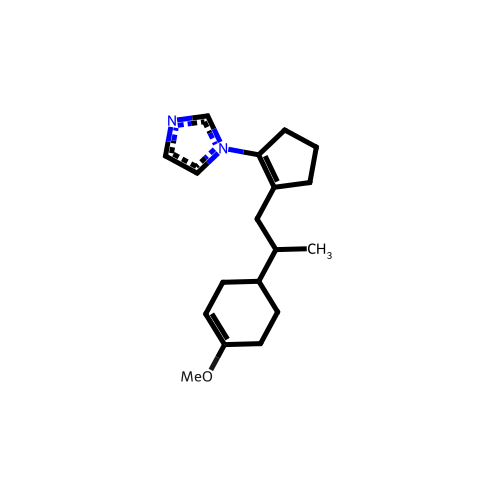 COC1=CCC(C(C)CC2=C(n3ccnc3)CCC2)CC1